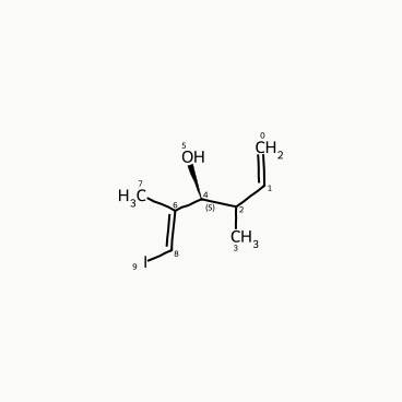 C=CC(C)[C@H](O)C(C)=CI